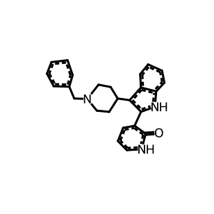 O=c1[nH]cccc1-c1[nH]c2ccccc2c1C1CCN(Cc2ccccc2)CC1